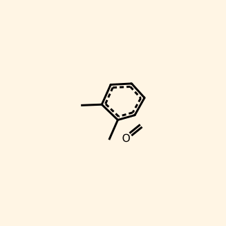 C=O.Cc1ccccc1C